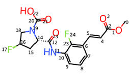 COC(=O)/C=C/c1cccc(NC(=O)[C@@H]2C[C@@H](F)CN2C(=O)O)c1F